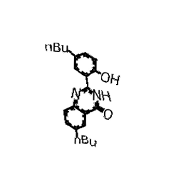 CCCCc1ccc(O)c(-c2nc3ccc(CCCC)cc3c(=O)[nH]2)c1